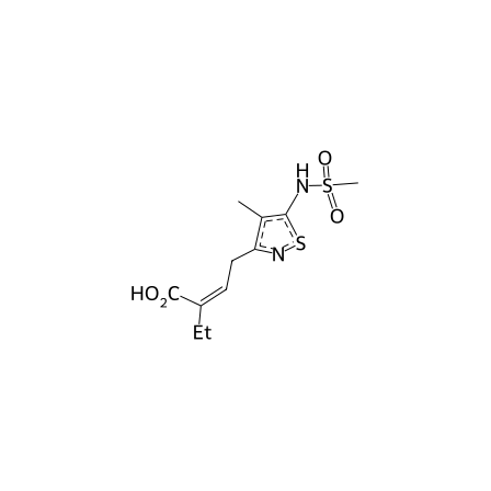 CC/C(=C/Cc1nsc(NS(C)(=O)=O)c1C)C(=O)O